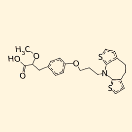 COC(Cc1ccc(OCCCN2c3sccc3CCc3ccsc32)cc1)C(=O)O